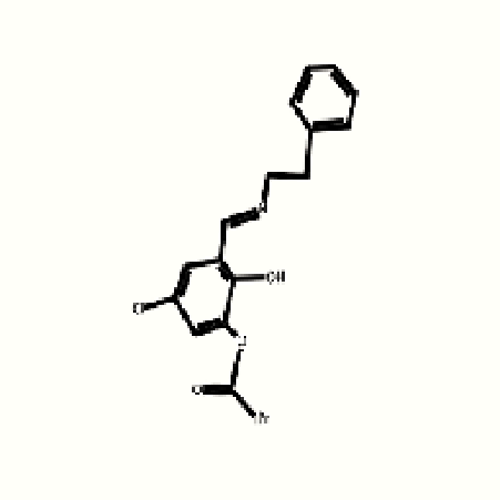 CC(C)C(=O)Oc1cc(Cl)cc(C=NCCc2ccccc2)c1O